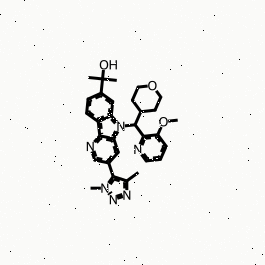 COc1cccnc1C(C1CCOCC1)n1c2cc(C(C)(C)O)ccc2c2ncc(-c3c(C)nnn3C)cc21